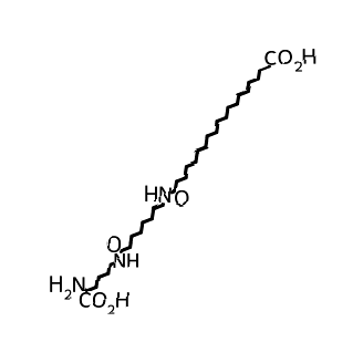 N[C@@H](CCCCNC(=O)CCCCCCCNC(=O)CCCCCCCCCCCCCCCCCCC(=O)O)C(=O)O